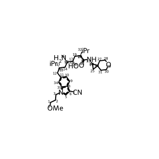 COCCCn1cc(C#N)c2ccc(C[C@@H](C[C@H](N)[C@@H](O)C[C@H](C(=O)N[C@@H]3CC34CCOCC4)C(C)C)C(C)C)cc21